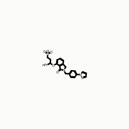 CCCC(CC[SH](=O)=O)Oc1cccc2c1C(=O)N(Cc1ccc(-n3cccn3)cc1)C2